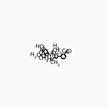 C=Nc1cc(-c2cccc(C3(C)COC3)c2)nn1/C(=C\C)N[C@@H]1C[C@H](CO)[C@H]2OC(C)(C)O[C@H]21